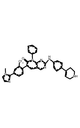 Cn1ccnc1-c1ccc(-c2cc3cnc(Nc4ccc(C5=CCNCC5)cc4)nc3n(-c3ccccc3)c2=O)c(C(F)(F)F)c1